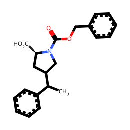 CC(c1ccccc1)C1C[C@@H](C(=O)O)N(C(=O)OCc2ccccc2)C1